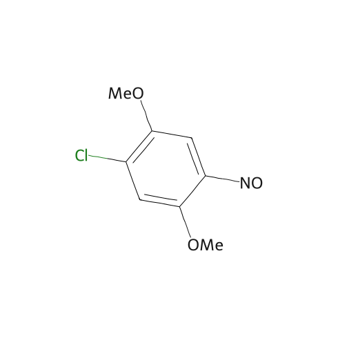 COc1cc(N=O)c(OC)cc1Cl